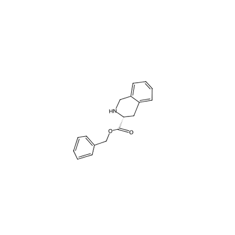 O=C(OCc1ccccc1)[C@H]1Cc2ccccc2CN1